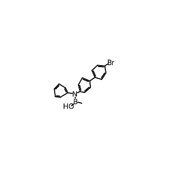 CB(O)N(c1ccccc1)c1ccc(-c2ccc(Br)cc2)cc1